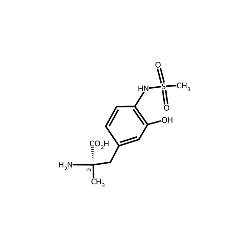 C[C@@](N)(Cc1ccc(NS(C)(=O)=O)c(O)c1)C(=O)O